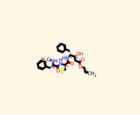 C=CCOC(=O)C[C@H](O)[C@@H](Cc1ccccc1)NC(=O)[C@@H](CS)NC(=O)[C@@H](Cc1ccccc1)NC